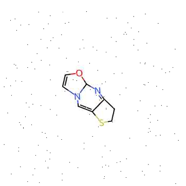 C1=CN2C=C3SCCC3=NC2O1